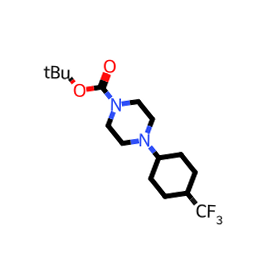 CC(C)(C)OC(=O)N1CCN(C2CCC(C(F)(F)F)CC2)CC1